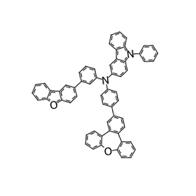 c1ccc(-n2c3ccccc3c3cc(N(c4ccc(-c5ccc6c(c5)-c5ccccc5Oc5ccccc5-6)cc4)c4cccc(-c5ccc6oc7ccccc7c6c5)c4)ccc32)cc1